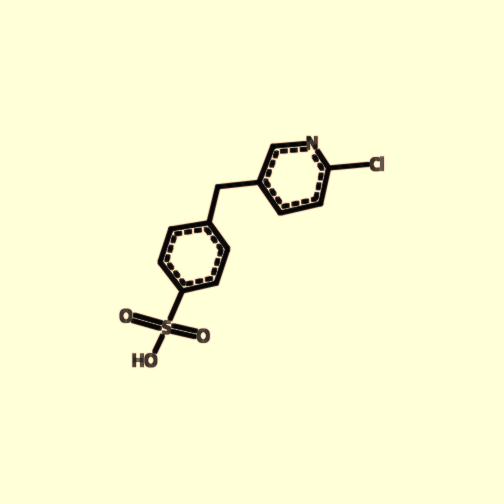 O=S(=O)(O)c1ccc(Cc2ccc(Cl)nc2)cc1